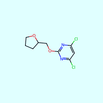 Clc1cc(Cl)nc(OCC2CCCO2)n1